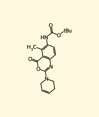 Cc1c(NC(=O)OC(C)(C)C)ccc2nc(N3CC=CCC3)oc(=O)c12